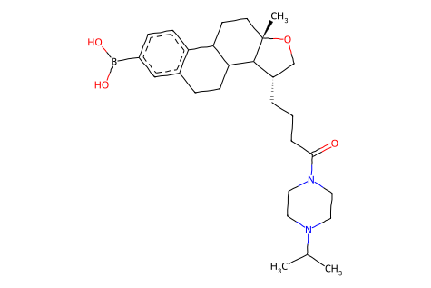 CC(C)N1CCN(C(=O)CCC[C@H]2CO[C@@]3(C)CCC4c5ccc(B(O)O)cc5CCC4C23)CC1